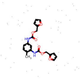 Cc1ccc(NC(=O)OCc2ccco2)cc1NC(=O)OCc1ccco1